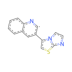 [c]1nc2ccccc2cc1-c1csc2nccn12